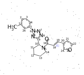 Cc1cccc(-n2nnc(C3CCCCN3C(=O)/C=C/c3ccoc3)n2)c1